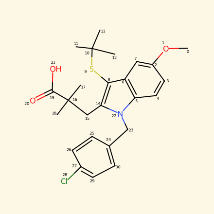 COc1ccc2c(c1)c(SC(C)(C)C)c(CC(C)(C)C(=O)O)n2Cc1ccc(Cl)cc1